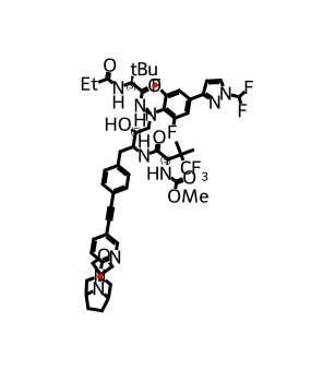 CCC(=O)N[C@H](C(=O)NN(C[C@H](O)C(Cc1ccc(C#Cc2ccc(N3CC4CCC(C3)N4C3COC3)nc2)cc1)NC(=O)[C@@H](NC(=O)OC)C(C)(C)C(F)(F)F)c1c(F)cc(-c2ccn(C(F)F)n2)cc1F)C(C)(C)C